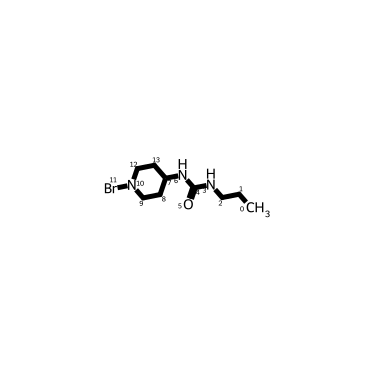 CCCNC(=O)NC1CCN(Br)CC1